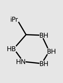 CC(C)C1BBBNB1